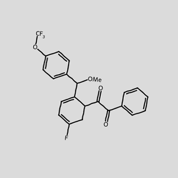 COC(C1=CC=C(F)CC1C(=O)C(=O)c1ccccc1)c1ccc(OC(F)(F)F)cc1